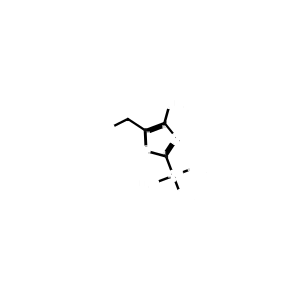 CCc1sc([N+](C)(C)C)nc1C